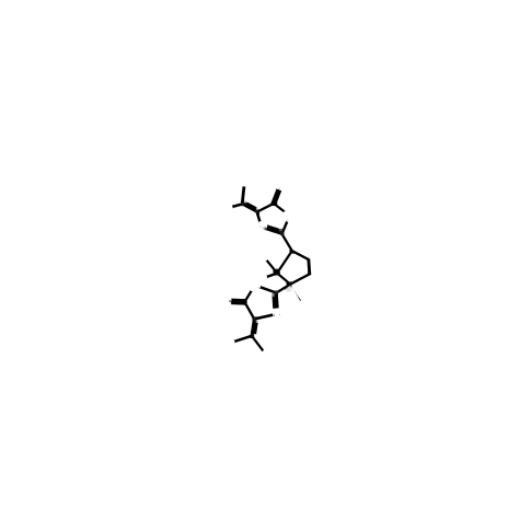 CC(C)=C1N=C(C2CC[C@](C)(C3=NC(=C(C)C)C(=O)O3)C2(C)C)OC1=O